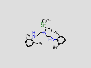 CC(C)c1cccc(C(C)C)c1NCCN(C)CCNc1c(C(C)C)cccc1C(C)C.[Cl-].[Cl-].[Cu+2]